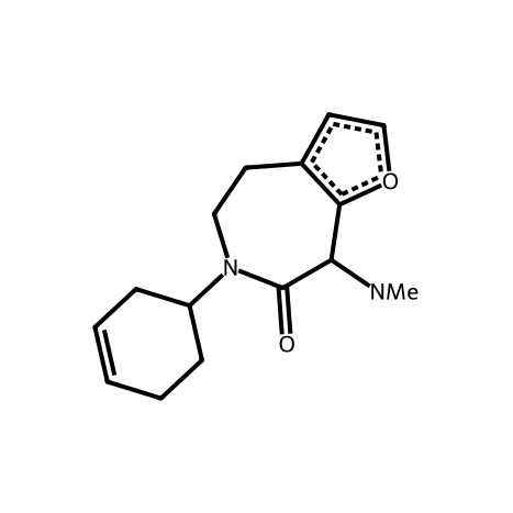 CNC1C(=O)N(C2CC=CCC2)CCc2ccoc21